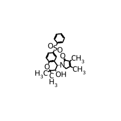 CC1=C(C)C(=O)N([C@H]2c3cc(S(=O)(=O)c4ccccc4)ccc3OC(C)(C)[C@@H]2O)C1